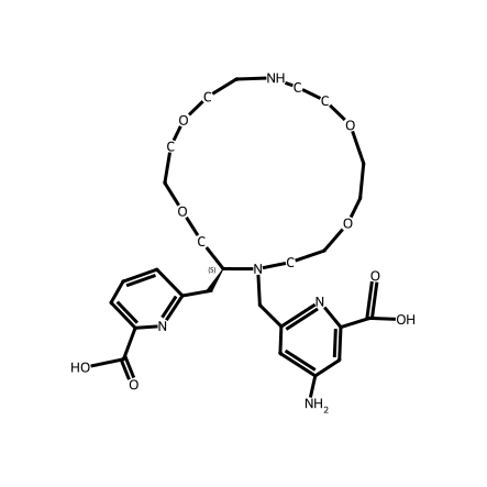 Nc1cc(CN2CCOCCOCCNCCOCCOC[C@@H]2Cc2cccc(C(=O)O)n2)nc(C(=O)O)c1